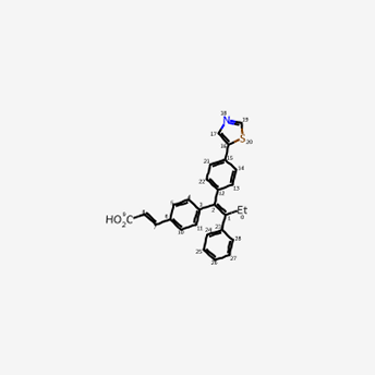 CC/C(=C(/c1ccc(/C=C/C(=O)O)cc1)c1ccc(-c2cncs2)cc1)c1ccccc1